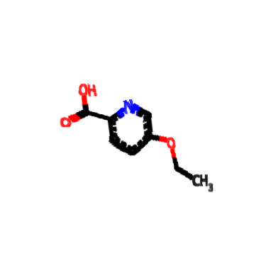 CCOc1ccc(C(=O)O)nc1